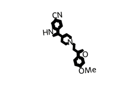 COc1ccc2c(CCN3CC=C(c4c[nH]c5cc(C#N)ccc45)CC3)coc2c1